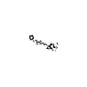 Cn1c(=O)c2c(ncn2CCCNCC(O)COc2ccccc2)n(C)c1=O